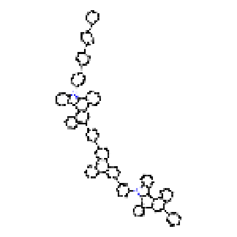 c1ccc(-c2ccc(-c3ccc(-c4ccc(-n5c6ccccc6c6c7c8ccccc8c(-c8ccc(-c9ccc%10c%11ccc(-c%12cccc(-n%13c%14ccccc%14c%14c%15c%16ccccc%16c(-c%16ccccc%16)cc%15c%15ccccc%15c%14%13)c%12)cc%11c%11ccccc%11c%10c9)cc8)cc7c7ccccc7c65)cc4)cc3)cc2)cc1